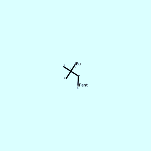 C[CH]C(C)C(C)(C)CCCCCC